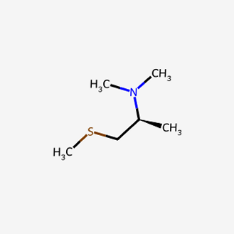 CSC[C@H](C)N(C)C